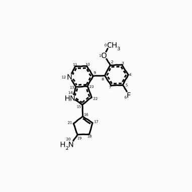 COc1ccc(F)cc1-c1ccnc2[nH]c(C3=CCC(N)C3)cc12